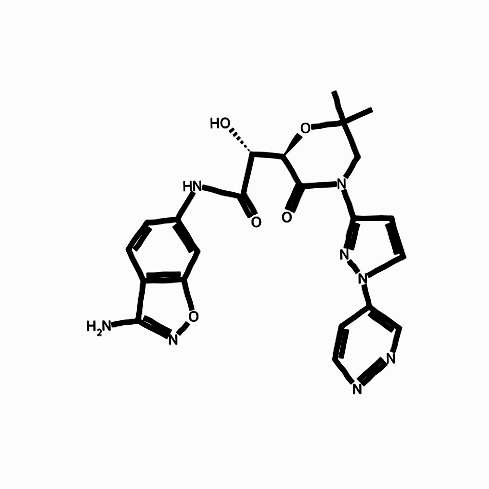 CC1(C)CN(c2ccn(-c3ccnnc3)n2)C(=O)[C@@H]([C@@H](O)C(=O)Nc2ccc3c(N)noc3c2)O1